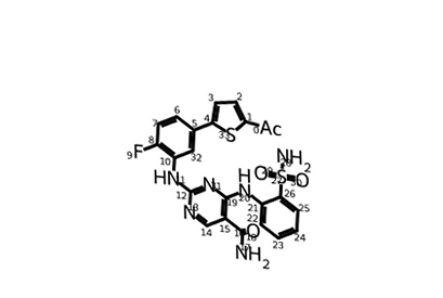 CC(=O)c1ccc(-c2ccc(F)c(Nc3ncc(C(N)=O)c(Nc4ccccc4S(N)(=O)=O)n3)c2)s1